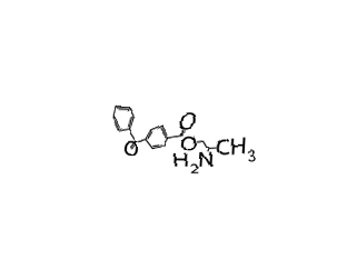 CC(N)COC(=O)c1ccc(C(=O)c2ccccc2)cc1